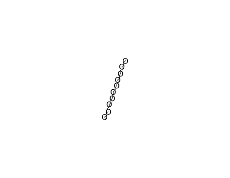 COCCOCCOCCOCCOCCOCCOCCOCCOCCOC